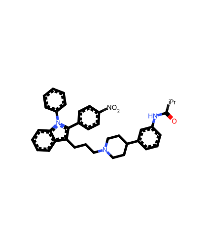 CC(C)C(=O)Nc1cccc(C2CCN(CCCc3c(-c4ccc([N+](=O)[O-])cc4)n(-c4ccccc4)c4ccccc34)CC2)c1